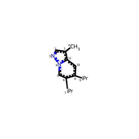 Cc1cnn2cc(C(C)C)c(C(C)C)cc12